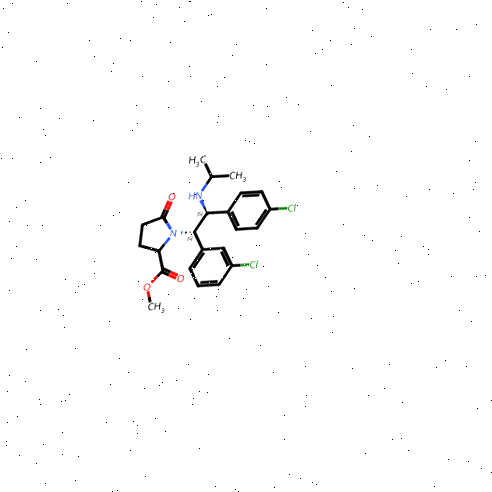 COC(=O)C1CCC(=O)N1[C@@H](c1cccc(Cl)c1)[C@@H](NC(C)C)c1ccc(Cl)cc1